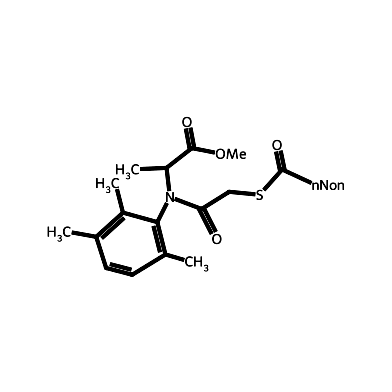 CCCCCCCCCC(=O)SCC(=O)N(c1c(C)ccc(C)c1C)C(C)C(=O)OC